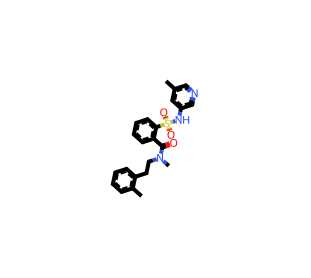 Cc1cncc(NS(=O)(=O)c2ccccc2C(=O)N(C)CCc2ccccc2C)c1